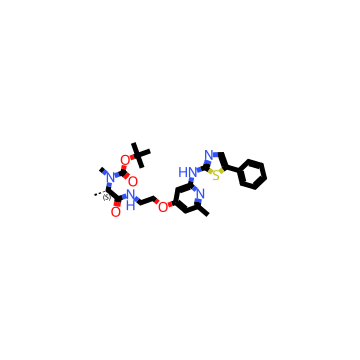 Cc1cc(OCCNC(=O)[C@H](C)N(C)C(=O)OC(C)(C)C)cc(Nc2ncc(-c3ccccc3)s2)n1